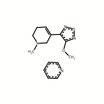 COc1nsnc1C1=CCCN(C)C1.c1ccncc1